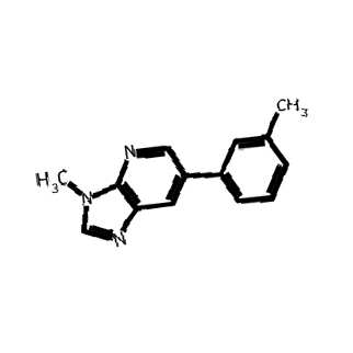 Cc1cccc(-c2cnc3c(c2)ncn3C)c1